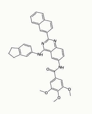 COc1cc(C(=O)Nc2ccc3nc(-c4ccc5ccccc5c4)nc(Nc4ccc5c(c4)CCC5)c3c2)cc(OC)c1OC